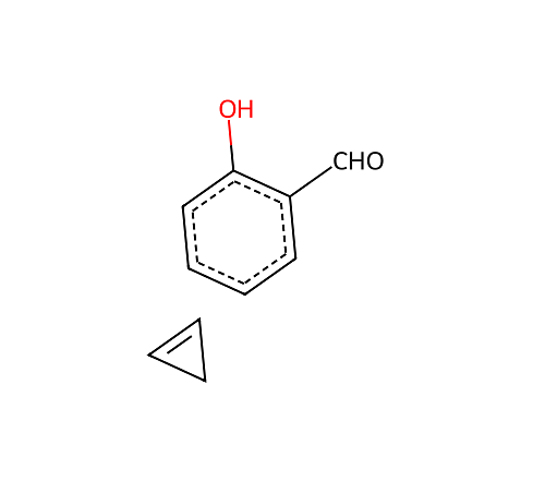 C1=CC1.O=Cc1ccccc1O